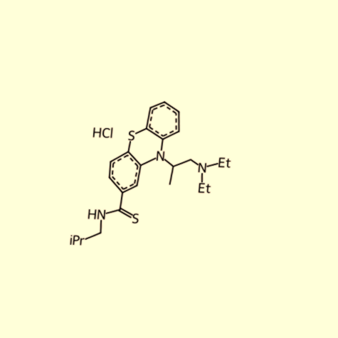 CCN(CC)CC(C)N1c2ccccc2Sc2ccc(C(=S)NCC(C)C)cc21.Cl